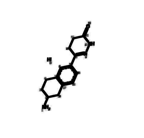 I.NC1CCc2cc(C3=NNC(=O)CC3)ccc2C1